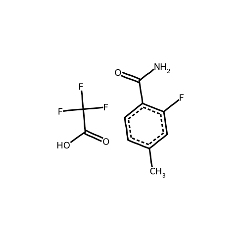 Cc1ccc(C(N)=O)c(F)c1.O=C(O)C(F)(F)F